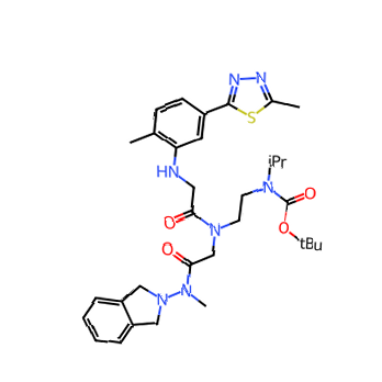 Cc1nnc(-c2ccc(C)c(NCC(=O)N(CCN(C(=O)OC(C)(C)C)C(C)C)CC(=O)N(C)N3Cc4ccccc4C3)c2)s1